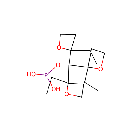 CCC1(C(OP(O)O)(C2(CC)CCO2)C2(CC)CCO2)CCO1